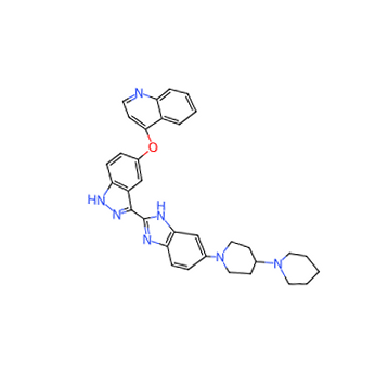 c1ccc2c(Oc3ccc4[nH]nc(-c5nc6ccc(N7CCC(N8CCCCC8)CC7)cc6[nH]5)c4c3)ccnc2c1